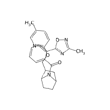 Cc1ccc(OCC2CC3CCC2N3C(=O)c2ccccc2-c2nc(C)no2)nc1